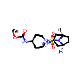 CC(C)(C)OC(=O)NC1CCN(S(=O)(=O)N2[C@@H]3CC[C@H]2CC(N)C3)CC1